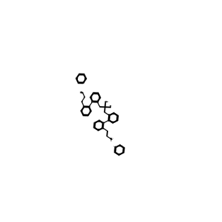 O=C(CCc1ccccc1-c1ccccc1CC1(Cc2ccccc2-c2ccccc2CCC(=O)Oc2ccccc2)COC1)Oc1ccccc1